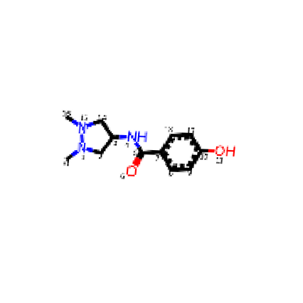 CN1CC(NC(=O)c2ccc(O)cc2)CN1C